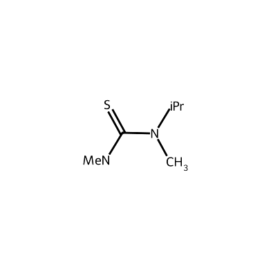 CNC(=S)N(C)C(C)C